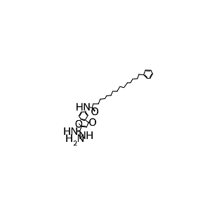 N=C(NN)c1cc(=O)c2cc(NC(=O)CCCCCCCCCCCCCCCc3ccccc3)ccc2o1